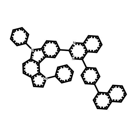 c1ccc(-n2ccc3ccc4c(c5cc(-c6nc(-c7ccc(-c8cccc9ccccc89)cc7)c7ccccc7n6)ccc5n4-c4ccccc4)c32)cc1